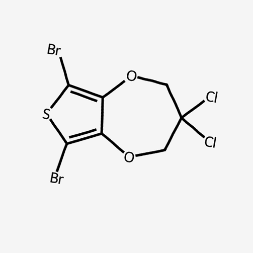 ClC1(Cl)COc2c(Br)sc(Br)c2OC1